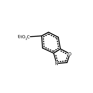 CCOC(=O)c1ccc2ocnc2c1